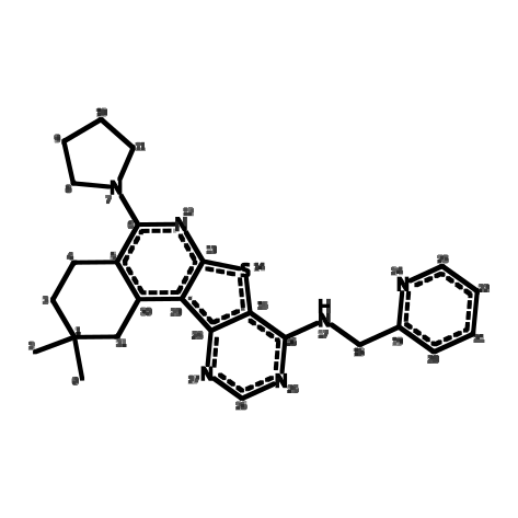 CC1(C)CCc2c(N3CCCC3)nc3sc4c(NCc5ccccn5)ncnc4c3c2C1